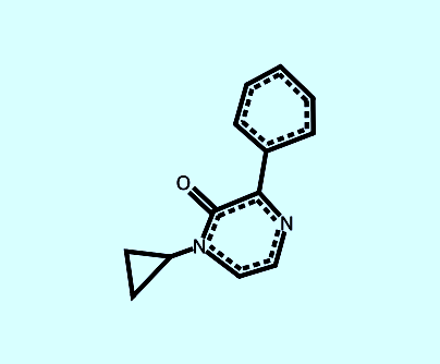 O=c1c(-c2ccccc2)nccn1C1CC1